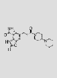 NC(=O)c1cc(C[CH]C(=O)N2CCC(N3CCCCC3)CC2)cc2oc(=O)[nH]c12